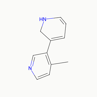 Cc1ccncc1C1=CC=CNC1